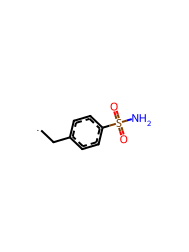 [CH2]Cc1ccc(S(N)(=O)=O)cc1